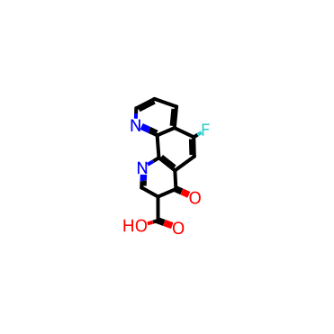 O=C(O)C1C=Nc2c(cc(F)c3cccnc23)C1=O